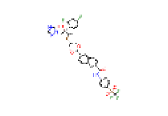 CC(SC1COC(c2ccc3cc(C(=O)Nc4ccc(S(=O)(=O)C(F)(F)F)cc4)ccc3c2)OC1)C(O)(Cn1cncn1)c1ccc(F)cc1F